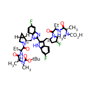 CC[C@H](NC(=O)[C@H](C)N(C)C(=O)O)C(=O)N1C[C@@H](F)C[C@H]1Cc1c(-c2nc3cc(F)ccc3n2C[C@@H]2[C@H]3C[C@H]3CN2C(=O)[C@H](CC)NC(=O)[C@H](C)N(C)C(=O)OC(C)(C)C)[nH]c2cc(F)ccc12